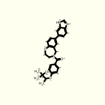 [CH2]C(Oc1ccc(C(=O)N2CCOc3ccc(-c4ccc5nc[nH]c5c4)cc3C2)cc1)C(C)(C)C